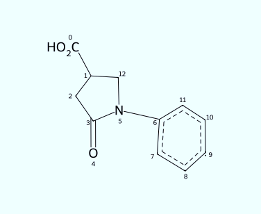 O=C(O)C1CC(=O)N(c2cc[c]cc2)C1